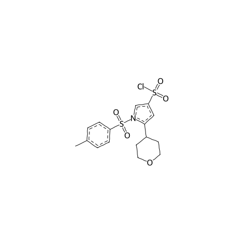 Cc1ccc(S(=O)(=O)n2cc(S(=O)(=O)Cl)cc2C2CCOCC2)cc1